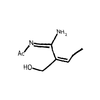 C/C=C(CO)\C(N)=N/C(C)=O